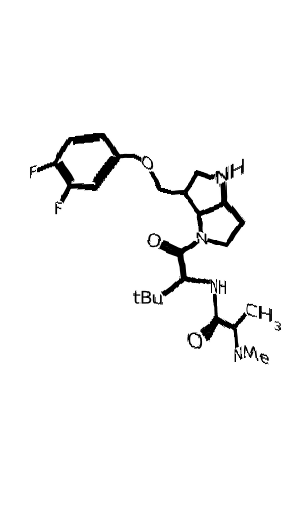 CNC(C)C(=O)NC(C(=O)N1CCC2NCC(COc3ccc(F)c(F)c3)C21)C(C)(C)C